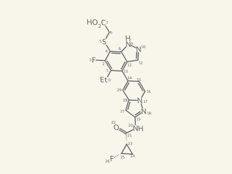 CCc1c(F)c(SCC(=O)O)c2[nH]ncc2c1-c1ccn2nc(NC(=O)[C@@H]3C[C@@H]3F)cc2c1